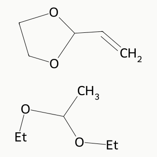 C=CC1OCCO1.CCOC(C)OCC